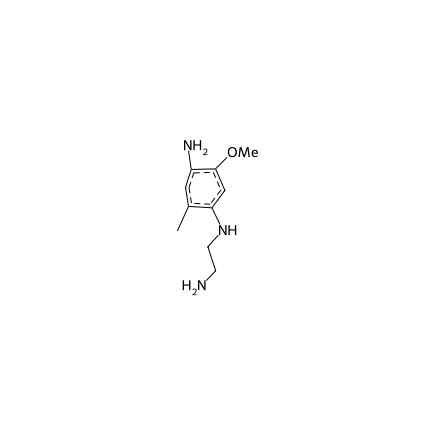 COc1cc(NCCN)c(C)cc1N